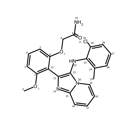 COc1cccc(OCC(N)=O)c1-c1nc2ccccn2c1Nc1c(C)cccc1Cl